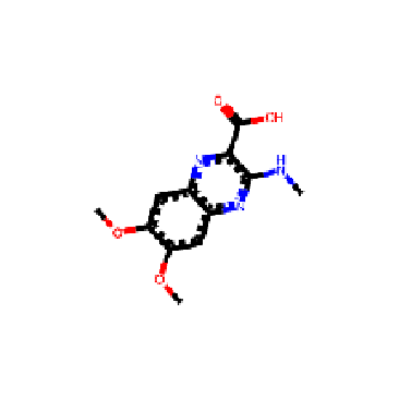 CNc1nc2cc(OC)c(OC)cc2nc1C(=O)O